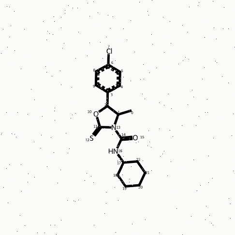 CC1C(c2ccc(Cl)cc2)OC(=S)N1C(=O)NC1CCCCC1